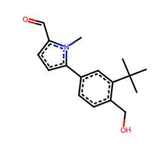 Cn1c(C=O)ccc1-c1ccc(CO)c(C(C)(C)C)c1